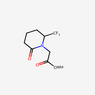 COC(=O)CN1C(=O)CCCC1C(F)(F)F